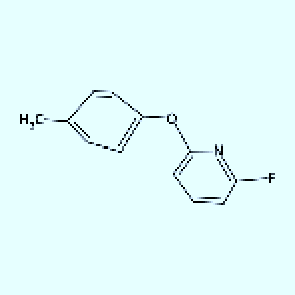 Cc1ccc(Oc2cccc(F)n2)cc1